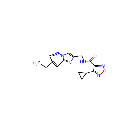 CCc1cnn2cc(CNC(=O)c3nonc3C3CC3)nc2c1